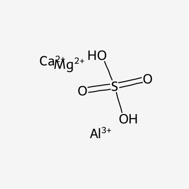 O=S(=O)(O)O.[Al+3].[Ca+2].[Mg+2]